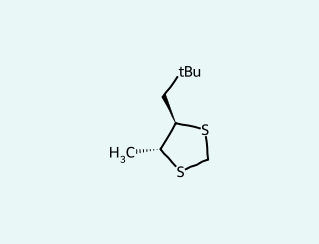 C[C@H]1SCS[C@@H]1CC(C)(C)C